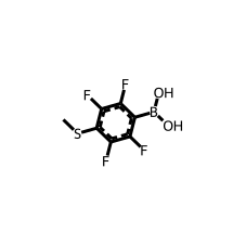 CSc1c(F)c(F)c(B(O)O)c(F)c1F